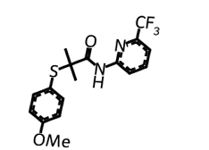 COc1ccc(SC(C)(C)C(=O)Nc2cccc(C(F)(F)F)n2)cc1